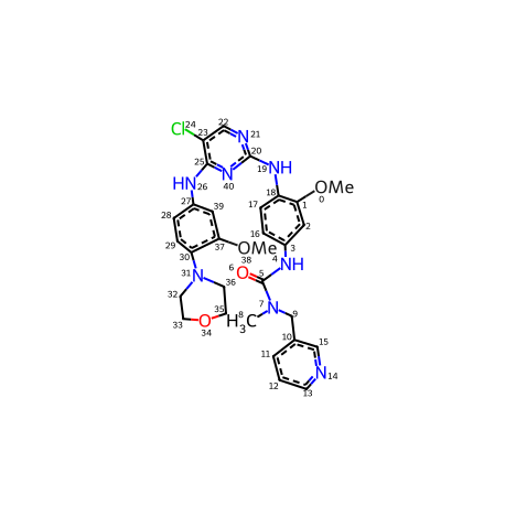 COc1cc(NC(=O)N(C)Cc2cccnc2)ccc1Nc1ncc(Cl)c(Nc2ccc(N3CCOCC3)c(OC)c2)n1